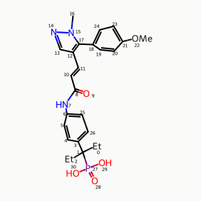 CCC(CC)(c1ccc(NC(=O)C=Cc2cnn(C)c2-c2ccc(OC)cc2)cc1)P(=O)(O)O